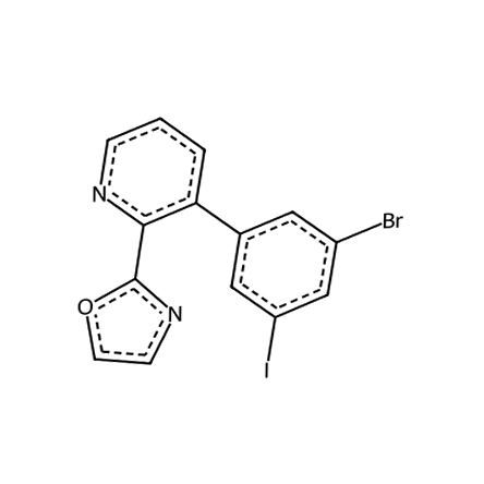 Brc1cc(I)cc(-c2cccnc2-c2ncco2)c1